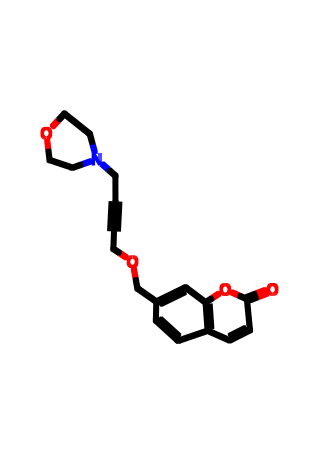 O=c1ccc2ccc(COCC#CCN3CCOCC3)cc2o1